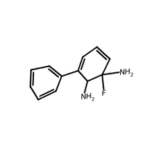 NC1C(c2ccccc2)=CC=CC1(N)F